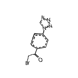 O=C(CBr)c1ccc(-n2cnnn2)cc1